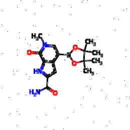 Cn1cc(B2OC(C)(C)C(C)(C)O2)c2cc(C(N)=O)[nH]c2c1=O